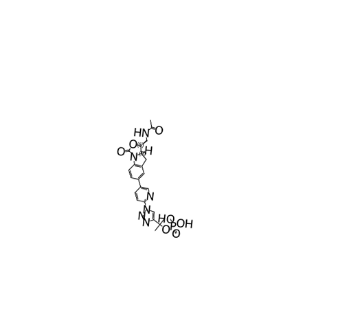 CC(=O)NC[C@@H]1OC(=O)N2c3ccc(-c4ccc(-n5cc(C(C)(C)OP(=O)(O)O)nn5)nc4)cc3C[C@@H]12